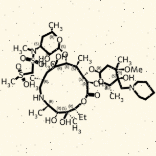 CC[C@H]1OC(=O)[C@H](C)[C@@H](O[C@H]2C[C@@](C)(OC)[C@](O)(CN3CCCCC3)[C@H](C)O2)[C@H](C)[C@@H](O[C@@H]2O[C@H](C)C[C@H](N(C)S(=O)(=O)CS(C)(=O)=O)[C@H]2O)[C@](C)(O)C[C@@H](C)CN[C@H](C)[C@@H](O)[C@]1(C)O